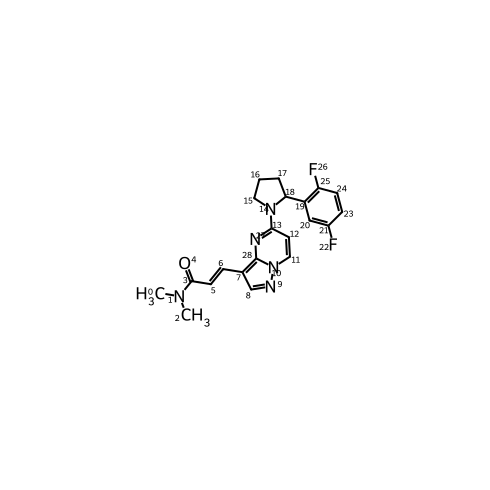 CN(C)C(=O)/C=C/c1cnn2ccc(N3CCCC3c3cc(F)ccc3F)nc12